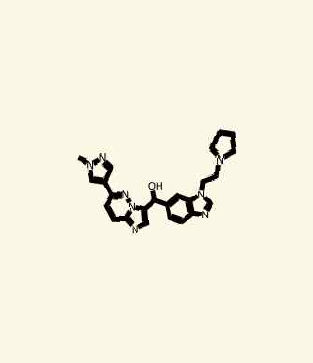 Cn1cc(-c2ccc3ncc(C(O)c4ccc5ncn(CCN6CCCC6)c5c4)n3n2)cn1